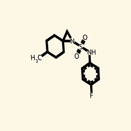 CC1CCC2(CC1)CN2S(=O)(=O)Nc1ccc(F)cc1